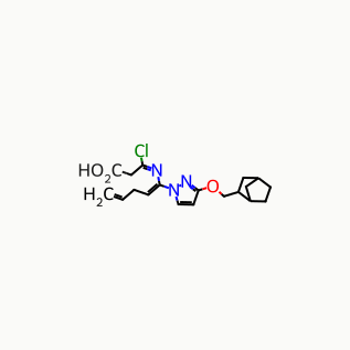 C=CC/C=C(\N=C(\Cl)CC(=O)O)n1ccc(OCC2CC3CCC2C3)n1